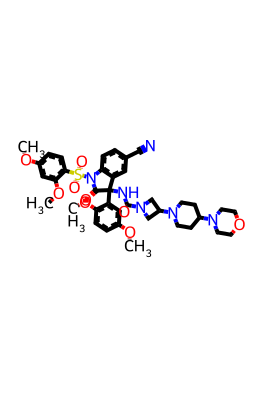 COc1ccc(S(=O)(=O)N2C(=O)C(NC(=O)N3CC(N4CCC(N5CCOCC5)CC4)C3)(c3cc(OC)ccc3OC)c3cc(C#N)ccc32)c(OC)c1